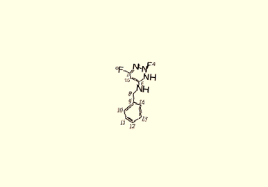 FC1=NN(F)NC(NCc2ccccc2)=C1